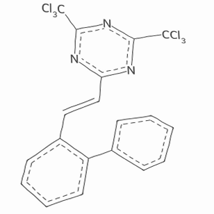 ClC(Cl)(Cl)c1nc(C=Cc2ccccc2-c2ccccc2)nc(C(Cl)(Cl)Cl)n1